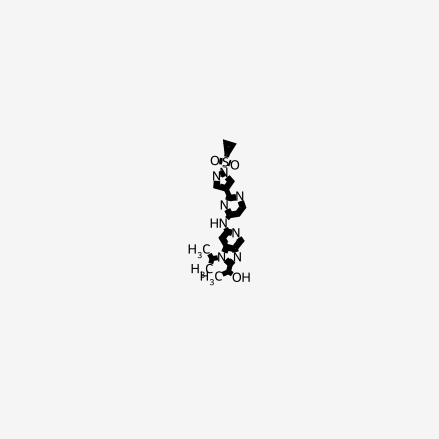 CC(O)c1nc2cnc(Nc3ccnc(-c4cnn(S(=O)(=O)C5CC5)c4)n3)cc2n1C(C)C